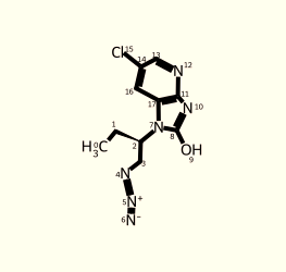 CC[C@H](CN=[N+]=[N-])n1c(O)nc2ncc(Cl)cc21